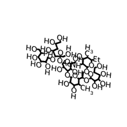 CCC1OC(OCC(OC2OC(CO)C(O)C(O)C2O)C2OC(OC3C(O)C(CO)OC(OC4(CO)OC(C(O)CO)C(O)C4OC4PC(CO)C(O)C(O)C4O)C3O)C(O)C(O)C2C)C(NC(C)=O)C(O)C1C